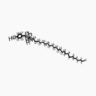 CCCCCCCCCCCCCCCCCCCCCCCCCNC(=O)NC(=O)c1ccc(O)cc1